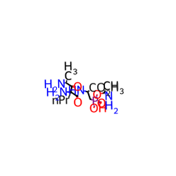 CCC[C@](N)(C(=O)NC(CP(=O)(O)OC(C)N)C(=O)O)C(=O)[C@H](C)N